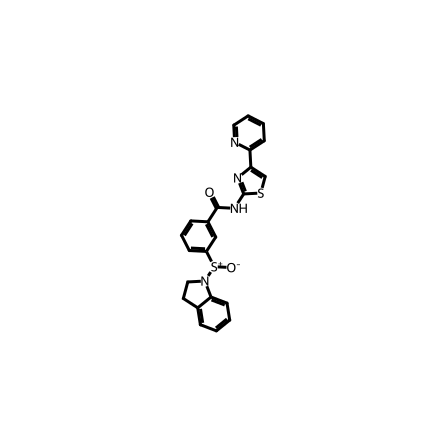 O=C(Nc1nc(-c2ccccn2)cs1)c1cccc([S+]([O-])N2CCc3ccccc32)c1